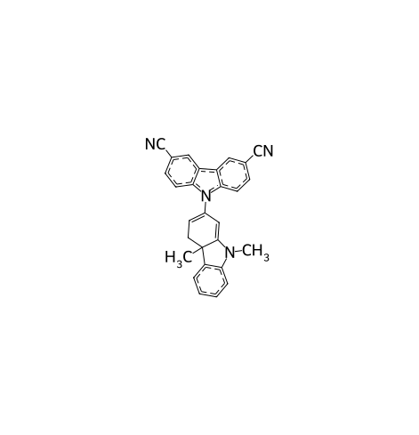 CN1C2=CC(n3c4ccc(C#N)cc4c4cc(C#N)ccc43)=CCC2(C)c2ccccc21